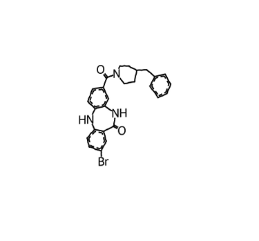 O=C1Nc2cc(C(=O)N3CCC(Cc4ccccc4)CC3)ccc2Nc2ccc(Br)cc21